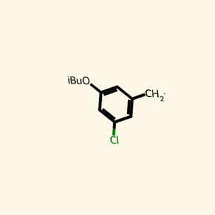 [CH2]c1cc(Cl)cc(OCC(C)C)c1